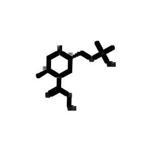 C[C@H]1CN[C@H](CO[Si](C)(C)C(C)(C)C)CN1C(=O)OC(C)(C)C